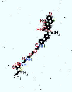 CCCCC(C)SC(CC(=O)O)C(=O)NCCC(=O)NCCOCCOCCC(=O)Nc1cccc(Cc2ccc([C@H](OCC)O[C@]3(C(=O)CO)CCC4[C@@H]5C[C@H](F)C6=CC(=O)C=C[C@]6(C)[C@@]5(F)[C@@H](O)C[C@@]43C)cc2)c1